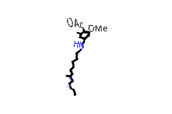 C=C/C=C\C=C(/C)C=CCCCCCNCc1cc(C)c(OC(C)=O)c(OC)c1